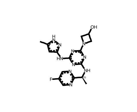 Cc1cc(Nc2nc(N[C@@H](C)c3ncc(F)cn3)nc(N3CC(O)C3)n2)n[nH]1